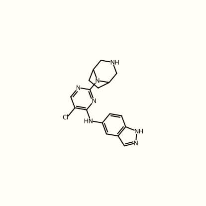 Clc1cnc(N2C3CCC2CNC3)nc1Nc1ccc2[nH]ncc2c1